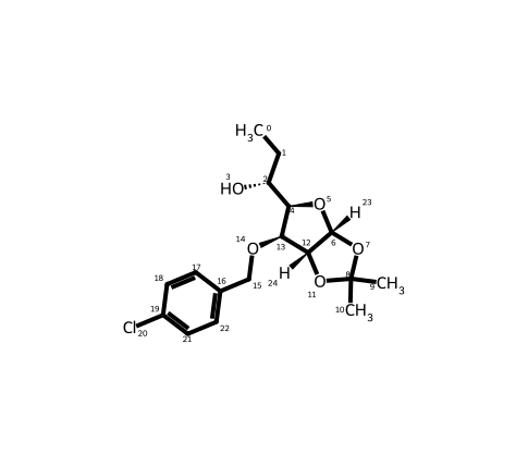 CC[C@@H](O)[C@H]1O[C@@H]2OC(C)(C)O[C@@H]2[C@H]1OCc1ccc(Cl)cc1